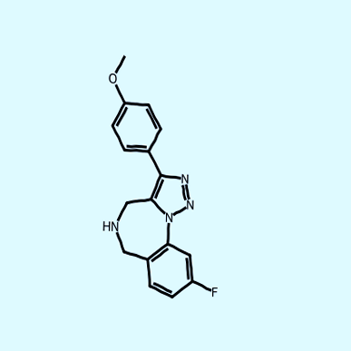 COc1ccc(-c2nnn3c2CNCc2ccc(F)cc2-3)cc1